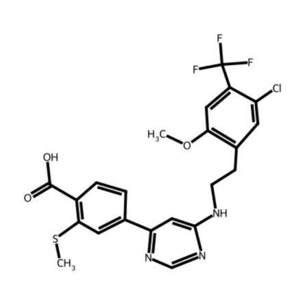 COc1cc(C(F)(F)F)c(Cl)cc1CCNc1cc(-c2ccc(C(=O)O)c(SC)c2)ncn1